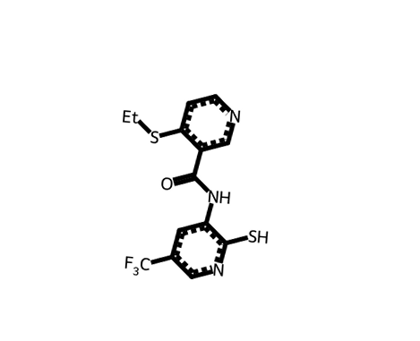 CCSc1ccncc1C(=O)Nc1cc(C(F)(F)F)cnc1S